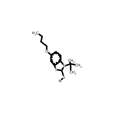 CCCCOc1ccc2c(c1)SC(S[N])N2C(C)(C)C